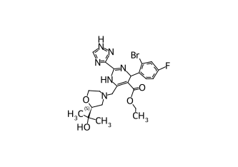 CCOC(=O)C1=C(CN2CCO[C@H](C(C)(C)O)C2)NC(c2nc[nH]n2)=NC1c1ccc(F)cc1Br